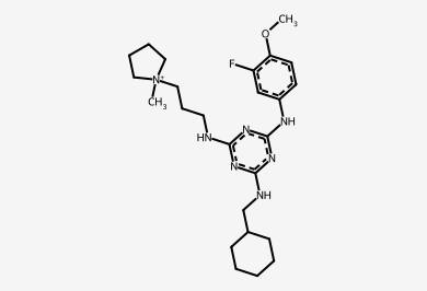 COc1ccc(Nc2nc(NCCC[N+]3(C)CCCC3)nc(NCC3CCCCC3)n2)cc1F